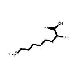 CCCCCCCCCCCCCC(C)C(O)=S